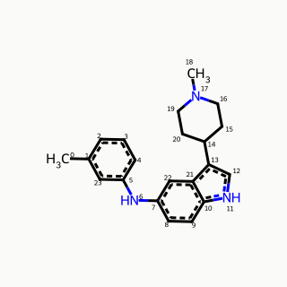 Cc1cccc(Nc2ccc3[nH]cc(C4CCN(C)CC4)c3c2)c1